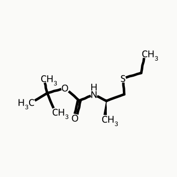 CCSC[C@@H](C)NC(=O)OC(C)(C)C